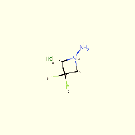 Cl.NN1CC(F)(F)C1